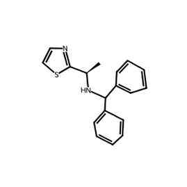 C[C@@H](NC(c1ccccc1)c1ccccc1)c1nccs1